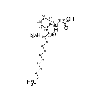 CCCCCCCCCCCC(=O)c1ccccc1NCC(=O)O.[NaH]